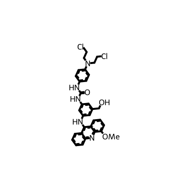 COc1cccc2c(Nc3cc(CO)cc(NC(=O)Nc4ccc(N(CCCl)CCCl)cc4)c3)c3ccccc3nc12